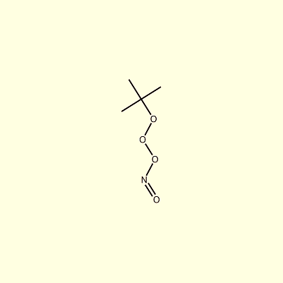 CC(C)(C)OOON=O